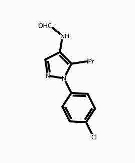 CC(C)c1c(NC=O)cnn1-c1ccc(Cl)cc1